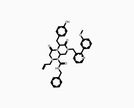 C=CCN1CC(=O)N2C(Cc3ccc(O)cc3)C(=O)N(Cc3cccnc3-c3cccc(OC)c3)CC2N1C(=O)NCc1ccccc1